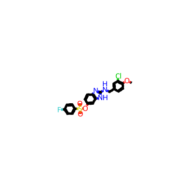 COc1ccc(CNc2nc3ccc(OS(=O)(=O)c4ccc(F)cc4)cc3[nH]2)cc1Cl